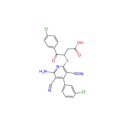 N#Cc1c(N)nc(SC(CC(=O)O)C(=O)c2ccc(Cl)cc2)c(C#N)c1-c1cccc(Cl)c1